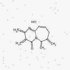 C=C1CC=Cc2nc(=C)c(=C)c(=O)n2C1=C.Cl